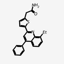 CCc1cccc2c(-c3ccccc3)cc(-c3ccc(CC(N)=O)s3)nc12